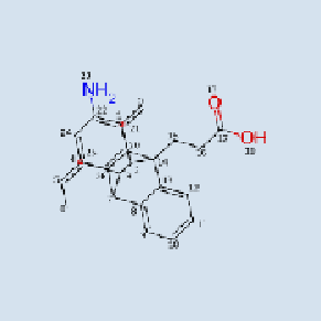 C=CC1C(/C=C\C)C2c3ccccc3C1(CCC(=O)O)c1cc(N)ccc12